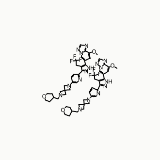 COc1cc(-c2[nH]nc(-c3ccc(N4CC5(CN(CC6CCOCC6)C5)C4)cn3)c2CC(F)(F)F)cn2ncnc12.COc1cc(-c2[nH]nc(-c3ccc(N4CC5(CN(CC6CCOCC6)C5)C4)cn3)c2CC(F)(F)F)cn2ncnc12